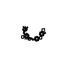 Cc1cc(Oc2ccc(CCOc3ccn(Cc4cnn(C)c4)c(=O)n3)cc2)ccc1Cl